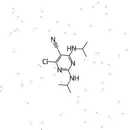 CC(C)Nc1nc(Cl)c(C#N)c(NC(C)C)n1